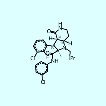 CC(C)CN1[C@H]2CCNC(=O)[C@H]2[C@H](c2cccc(Cl)c2F)[C@]1(C)C(=O)Nc1cccc(Cl)c1